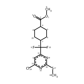 COC(=O)C1CCC(C(F)(F)c2cc(Cl)nc(SC)n2)CC1